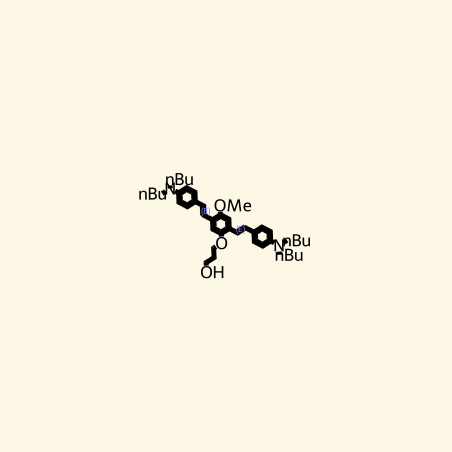 CCCCN(CCCC)c1ccc(/C=C/c2cc(OCCCO)c(/C=C/c3ccc(N(CCCC)CCCC)cc3)cc2OC)cc1